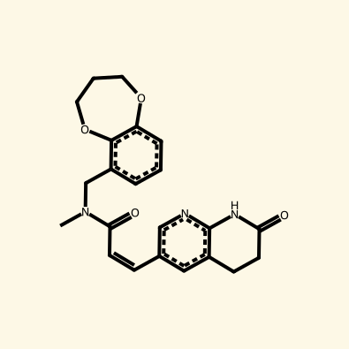 CN(Cc1cccc2c1OCCCO2)C(=O)/C=C\c1cnc2c(c1)CCC(=O)N2